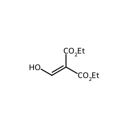 CCOC(=O)C(=CO)C(=O)OCC